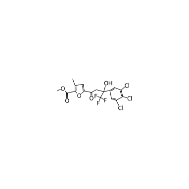 COC(=O)c1oc(C(=O)CC(O)(c2cc(Cl)c(Cl)c(Cl)c2)C(F)(F)F)cc1C